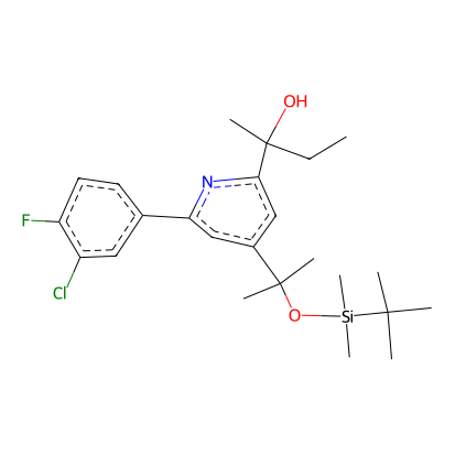 CCC(C)(O)c1cc(C(C)(C)O[Si](C)(C)C(C)(C)C)cc(-c2ccc(F)c(Cl)c2)n1